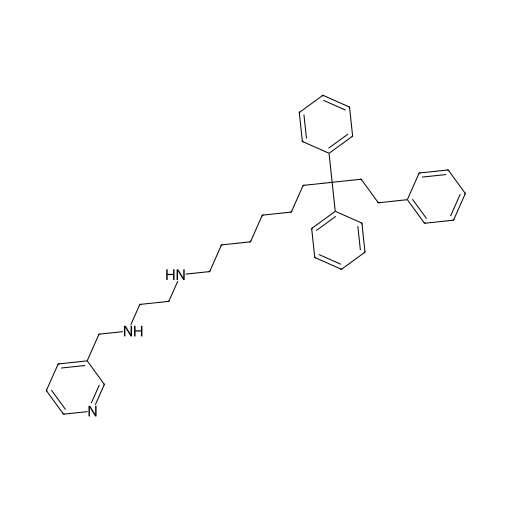 c1ccc(CCC(CCCCCCNCCNCc2cccnc2)(c2ccccc2)c2ccccc2)cc1